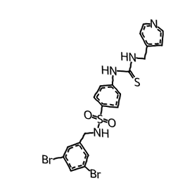 O=S(=O)(NCc1cc(Br)cc(Br)c1)c1ccc(NC(=S)NCc2ccncc2)cc1